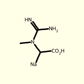 CN(C(=N)N)[CH]([Na])C(=O)O